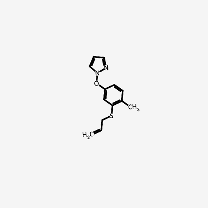 C=CCSc1cc(On2cccn2)ccc1C